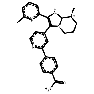 Cc1cccc(C2=C(c3ccnc(-c4ccc(C(N)=O)cc4)c3)N3CCC[C@H](C)C3N2)n1